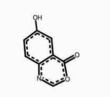 O=c1ocnc2ccc(O)cc12